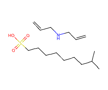 C=CCNCC=C.CC(C)CCCCCCCS(=O)(=O)O